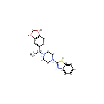 C[C@@H](c1ccc2c(c1)OCO2)N1CCN(c2nc3ccccc3s2)CC1